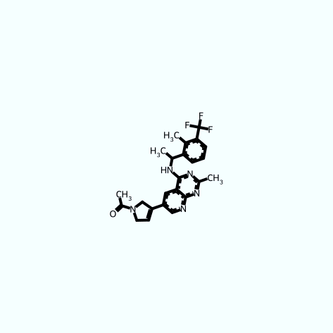 CC(=O)N1CC=C(c2cnc3nc(C)nc(NC(C)c4cccc(C(F)(F)F)c4C)c3c2)C1